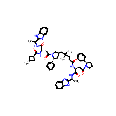 CC1CC(C(=O)N[C@@H](CC(=O)N2CC(CC(C)(C)CCC(=O)N[C@@H](CC(=O)N3CCC[C@@H]3c3ccccc3)C(=O)N[C@@H](C)c3nc4ccccc4[nH]3)C[C@@H]2c2ccccc2)C(=O)NC(C)c2nc3ccccc3[nH]2)C1